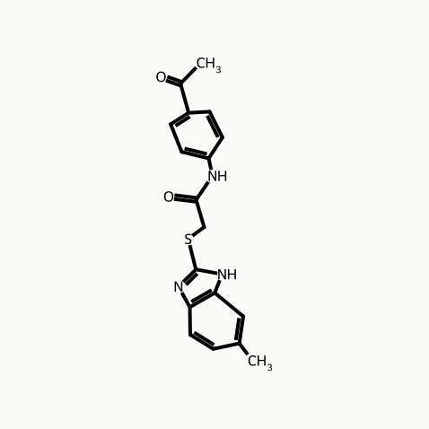 CC(=O)c1ccc(NC(=O)CSc2nc3ccc(C)cc3[nH]2)cc1